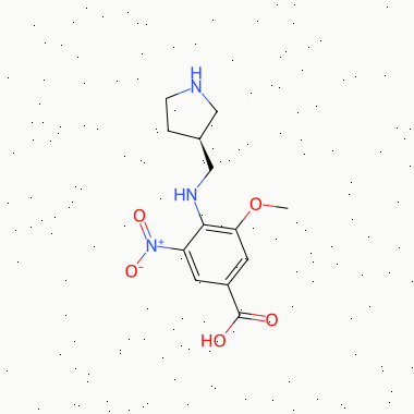 COc1cc(C(=O)O)cc([N+](=O)[O-])c1NC[C@H]1CCNC1